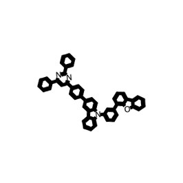 c1ccc(-c2cc(-c3ccc(-c4ccc5c(c4)c4ccccc4n5-c4cccc(-c5cccc6c5oc5ccccc56)c4)cc3)nc(-c3ccccc3)n2)cc1